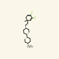 CCC[C@H]1CC[C@H]([C@H]2CC[C@H](CCC3(C)C=C(F)C(F)=CC3)CC2)CC1